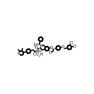 CC[C@@H](c1ccccc1)N1Cc2cc3c(cc2C[C@H]1C(=O)N[C@@H](Cc1ccc(-c2ccnc(C)c2C)cc1)C(=O)O)OC[C@H](c1ccc(OCc2ccc(Cl)c(Cl)c2)cc1)O3